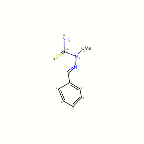 CON(N=Cc1ccccc1)C(N)=S